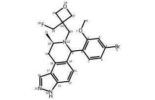 COc1cc(Br)ccc1C1c2ccc3[nH]ncc3c2C[C@@H](C)N1CC1(CF)COC1